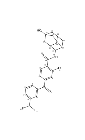 CCc1cc(C(=O)c2cccc(C(F)F)c2)ccc1C(=O)NC1C2CC3CC1CC(O)(C3)C2